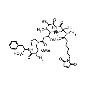 CC[C@H](C)[C@@H]([C@@H](CC(=O)N1CCC[C@H]1[C@H](OC)[C@@H](C)C(=O)N[C@@H](Cc1ccccc1)C(=O)O)OC)N(C)[C@H](C(=O)NC(=O)C(C)(C)N(C)C(=O)CCCCCN1C(=O)C=CC1=O)C(C)C